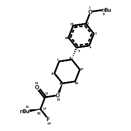 CCCCOc1ccc([C@H]2CC[C@H](OC(=O)[C@@H](F)CCCC)CC2)cc1